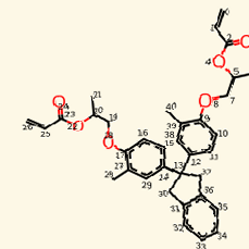 C=CC(=O)OC(C)COc1ccc(C2(c3ccc(OCC(C)OC(=O)C=C)c(C)c3)Cc3ccccc3C2)cc1C